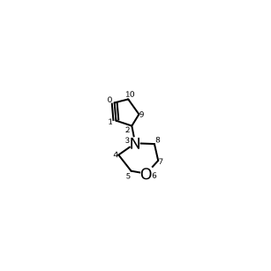 C1#CC(N2CCOCC2)CC1